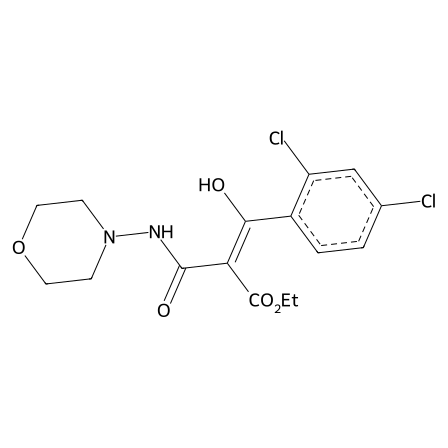 CCOC(=O)C(C(=O)NN1CCOCC1)=C(O)c1ccc(Cl)cc1Cl